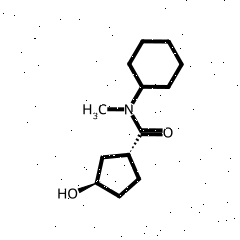 CN(C(=O)[C@@H]1CC[C@@H](O)C1)C1CCCCC1